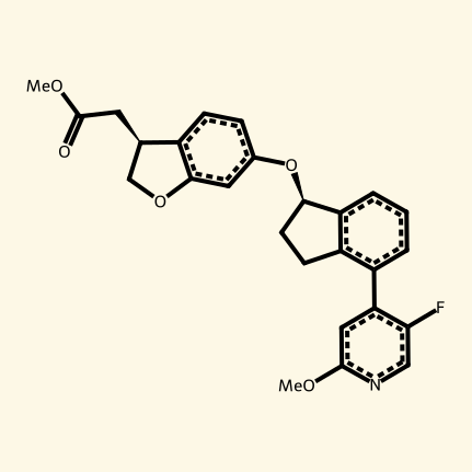 COC(=O)C[C@@H]1COc2cc(O[C@@H]3CCc4c(-c5cc(OC)ncc5F)cccc43)ccc21